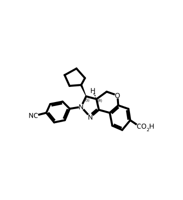 N#Cc1ccc(N2N=C3c4ccc(C(=O)O)cc4OC[C@@H]3[C@@H]2C2CCCC2)cc1